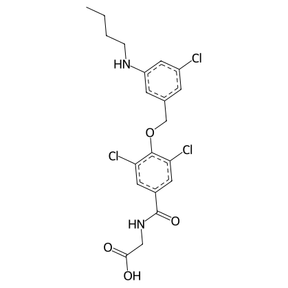 CCCCNc1cc(Cl)cc(COc2c(Cl)cc(C(=O)NCC(=O)O)cc2Cl)c1